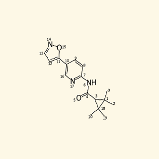 CC1(C)C(C(=O)Nc2ccc(-c3ccno3)cn2)C1(C)C